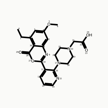 CCc1cc(OC)cc2nc(-c3cccnc3N3CCN(CC(=O)O)CC3)oc(=O)c12